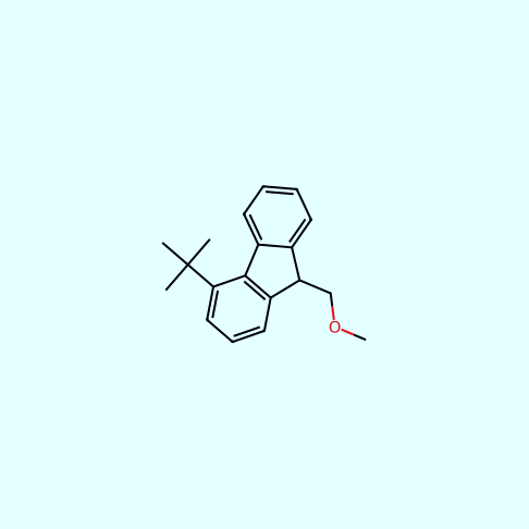 COCC1c2ccccc2-c2c1cccc2C(C)(C)C